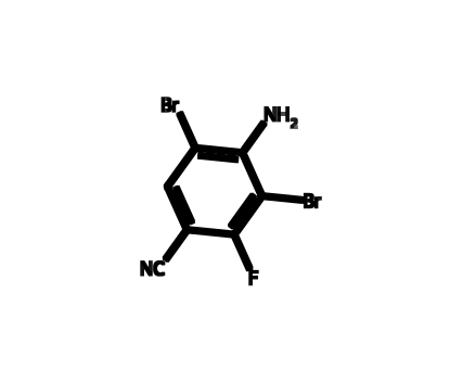 N#Cc1cc(Br)c(N)c(Br)c1F